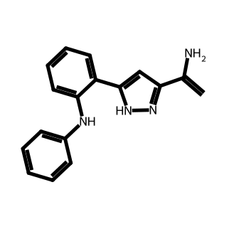 C=C(N)c1cc(-c2ccccc2Nc2ccccc2)[nH]n1